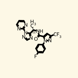 C[C@H](NC(=O)c1cc(C(F)(F)F)nn1-c1ccc(F)cc1)c1ncnn1-c1ncccn1